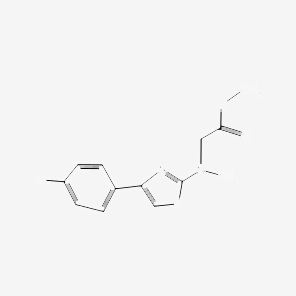 COC(=O)CN(C)c1nc(-c2ccc(Br)cc2)cs1